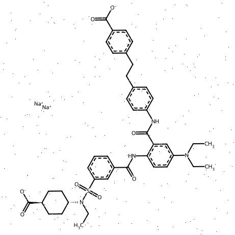 CCN(CC)c1ccc(NC(=O)c2cccc(S(=O)(=O)N(CC)[C@H]3CC[C@H](C(=O)[O-])CC3)c2)c(C(=O)Nc2ccc(CCc3ccc(C(=O)[O-])cc3)cc2)c1.[Na+].[Na+]